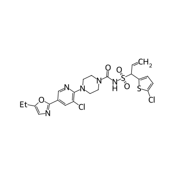 C=CC(c1ccc(Cl)s1)S(=O)(=O)NC(=O)N1CCN(c2ncc(-c3ncc(CC)o3)cc2Cl)CC1